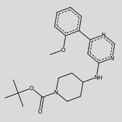 COc1ccccc1-c1cc(NC2CCN(C(=O)OC(C)(C)C)CC2)ncn1